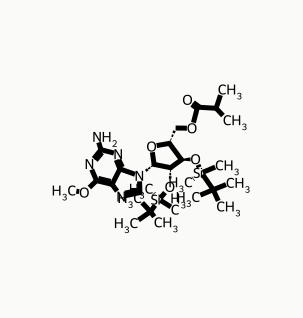 COc1nc(N)nc2c1ncn2[C@@H]1O[C@H](COC(=O)C(C)C)[C@@H](O[Si](C)(C)C(C)(C)C)[C@@H]1O[Si](C)(C)C(C)(C)C